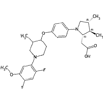 COc1cc(N2CCC(Oc3ccc(N4C[C@H](C)[C@@H](C)[C@@H]4CC(=O)O)cc3)C(C)C2)c(F)cc1F